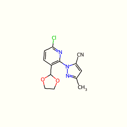 Cc1cc(C#N)n(-c2nc(Cl)ccc2C2OCCO2)n1